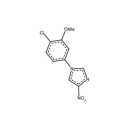 COc1cc(-n2cnc([N+](=O)[O-])c2)ccc1Cl